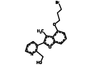 Cc1c(-c2cccnc2CO)oc2cccc(OCCCBr)c12